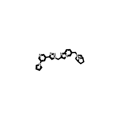 CN1C2CCC1CN(Cc1ccc3nc(Cn4cc(-c5cncc(-n6cccc6)c5)nn4)cn3c1)C2